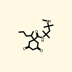 CCCC(C)C1(C(=O)NC(C)(C)CC(C)(C)NC)CC(=O)CC(=O)C1